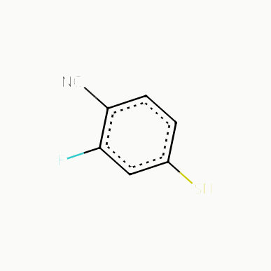 N#Cc1ccc(S)cc1F